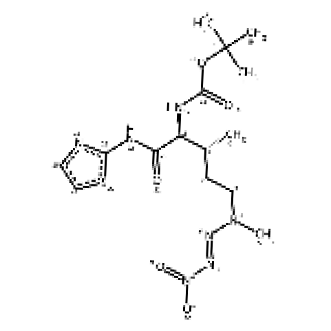 C[C@H](CCN(C)N=N[N+](=O)[O-])[C@H](NC(=O)OC(C)(C)C)C(=O)Nc1nccs1